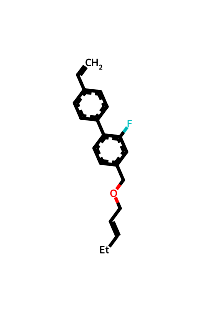 C=Cc1ccc(-c2ccc(COCC=CCC)cc2F)cc1